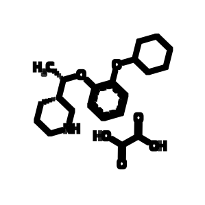 C[C@H](Oc1ccccc1OC1CCCCC1)[C@H]1CCCNC1.O=C(O)C(=O)O